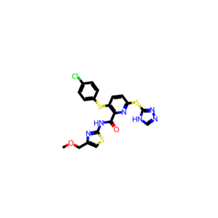 COCc1csc(NC(=O)c2nc(Sc3nnc[nH]3)ccc2Sc2ccc(Cl)cc2)n1